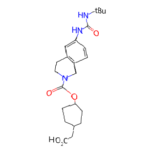 CC(C)(C)NC(=O)Nc1ccc2c(c1)CCN(C(=O)OC1CCC(CC(=O)O)CC1)C2